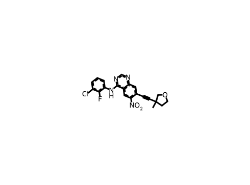 CC1(C#Cc2cc3ncnc(Nc4cccc(Cl)c4F)c3cc2[N+](=O)[O-])CCOC1